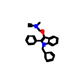 CCN(C)COc1c(-c2ccccc2)n(Cc2ccccc2)c2ccccc12